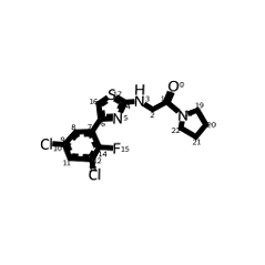 O=C(CNc1nc(-c2cc(Cl)cc(Cl)c2F)cs1)N1CCCC1